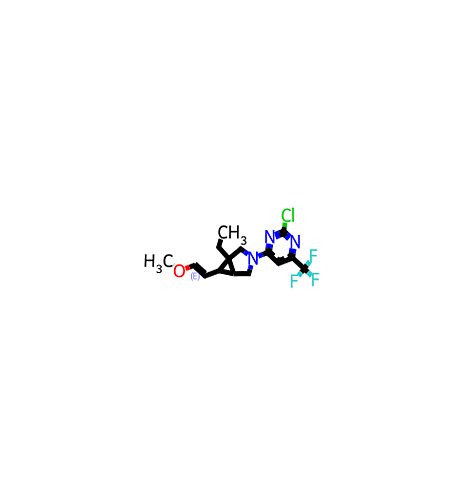 CCC12CN(c3cc(C(F)(F)F)nc(Cl)n3)CC1C2/C=C/OC